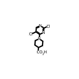 O=C(O)C1CCN(c2nc(Cl)ncc2Cl)CC1